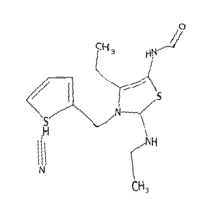 CCNC1SC(NC=O)=C(CC)N1CC1=CC=C[SH]1C#N